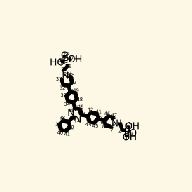 O=P(O)(O)CC[n+]1ccc(-c2ccc(-c3cc(-c4ccc(-c5cc[n+](CCP(=O)(O)O)cc5)cc4)nc(-c4ccccc4)n3)cc2)cc1